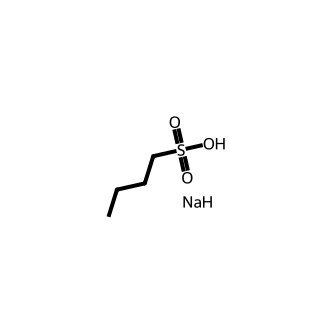 CCCCS(=O)(=O)O.[NaH]